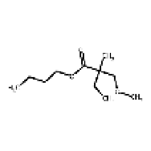 CCCCOC(=O)C(C)(CC)COC